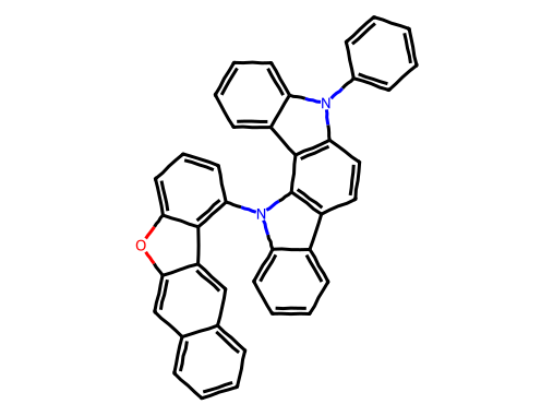 c1ccc(-n2c3ccccc3c3c2ccc2c4ccccc4n(-c4cccc5oc6cc7ccccc7cc6c45)c23)cc1